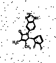 CC1=C(C)[C@H](c2cccc(F)c2F)N(c2ccc3[nH][14cH]nc3c2)C1=O